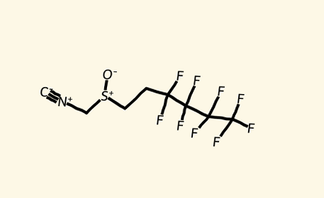 [C-]#[N+]C[S+]([O-])CCC(F)(F)C(F)(F)C(F)(F)C(F)(F)F